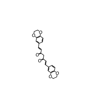 O=C(/C=C/c1ccc2c(c1)OCCO2)CC(=O)/C=C/c1ccc2c(c1)OCCO2